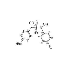 CCC(Cc1ccc(C(C)(C)C)cc1)(C(=O)O)C(O)c1ccc(F)cc1